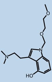 COCCOCn1cc(CCN(C)C)c2c(O)cccc21